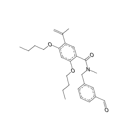 C=C(C)c1cc(C(=O)N(C)Cc2cccc(C=O)c2)c(OCCCC)cc1OCCCC